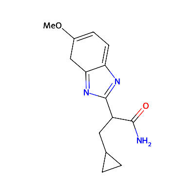 COC1=CC=C2N=C(C(CC3CC3)C(N)=O)N=C2C1